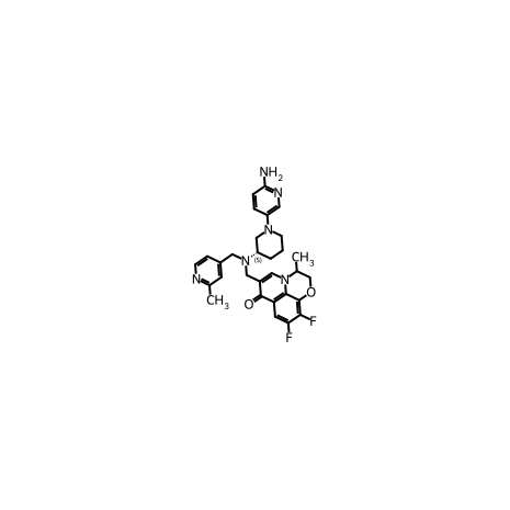 Cc1cc(CN(Cc2cn3c4c(c(F)c(F)cc4c2=O)OCC3C)[C@H]2CCCN(c3ccc(N)nc3)C2)ccn1